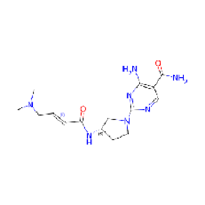 CN(C)C/C=C/C(=O)N[C@H]1CCN(c2ncc(C(N)=O)c(N)n2)C1